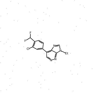 CCn1cnc2c(-c3ccc(C(F)F)c(Cl)c3)cnnc21